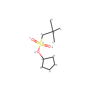 [CH2]C(C)(C)CS(=O)(=O)OC1CCCC1